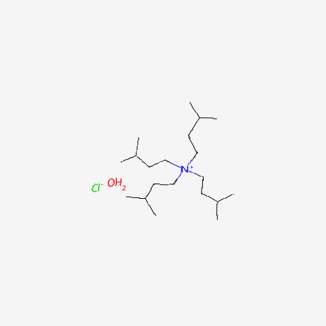 CC(C)CC[N+](CCC(C)C)(CCC(C)C)CCC(C)C.O.[Cl-]